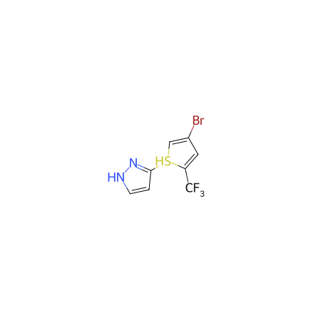 FC(F)(F)C1=CC(Br)=C[SH]1c1cc[nH]n1